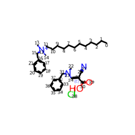 CCCCCCCCCCCC[N+](C)(C)Cc1ccccc1.CN(/C=C(\C#N)C(=O)O)Cc1ccccc1.[Cl-]